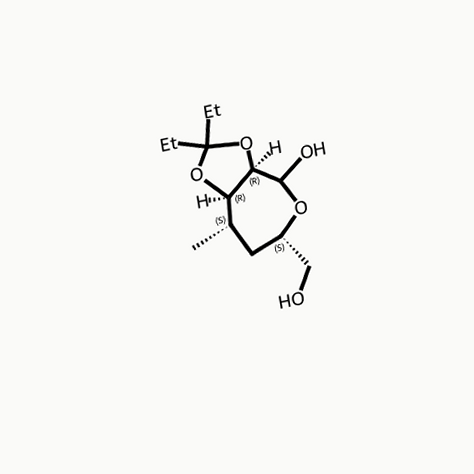 CCC1(CC)O[C@@H]2[C@@H](C)C[C@@H](CO)OC(O)[C@@H]2O1